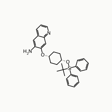 CC(C)(C)[Si](O[C@H]1CC[C@@H](Oc2cc3ncccc3cc2N)CC1)(c1ccccc1)c1ccccc1